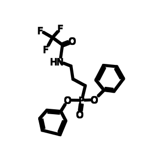 O=C(NCCCP(=O)(Oc1ccccc1)Oc1ccccc1)C(F)(F)F